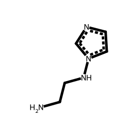 NCCNn1ccnc1